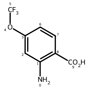 Nc1cc(OC(F)(F)F)ccc1C(=O)O